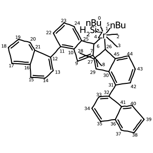 CCC[CH2][Zr]([CH3])([CH3])(=[SiH2])([CH2]CCC)([CH]1C(C)=Cc2c(-c3cccc4ccccc34)cccc21)[CH]1C(C)=Cc2c(-c3cccc4ccccc34)cccc21